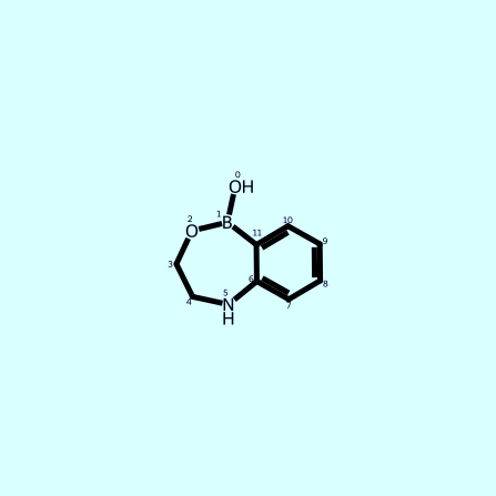 OB1OCCNc2ccccc21